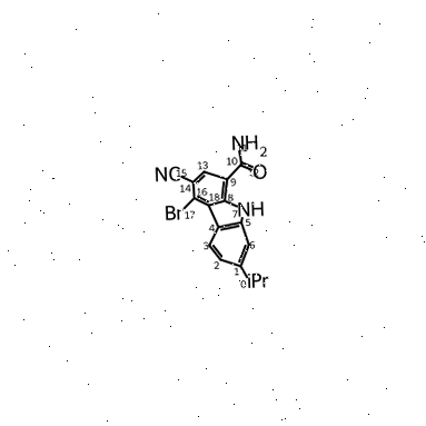 CC(C)c1ccc2c(c1)[nH]c1c(C(N)=O)cc(C#N)c(Br)c12